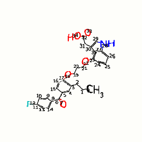 CCCc1cc(C(=O)c2ccc(F)cc2)ccc1OCCCOc1cccc2[nH]cc(CC(=O)O)c12